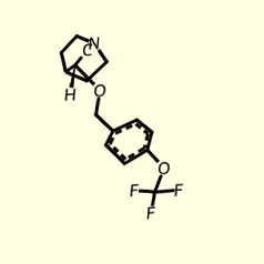 FC(F)(F)Oc1ccc(CO[C@H]2CN3CCC2CC3)cc1